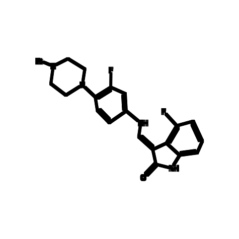 CCN1CCN(c2ccc(N/C=C3/C(=O)Nc4cccc(F)c43)cc2F)CC1